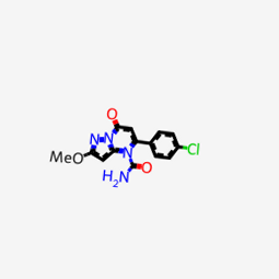 COc1cc2n(C(N)=O)c(-c3ccc(Cl)cc3)cc(=O)n2n1